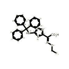 O=C(O)C(=NOCF)c1nsc(NC(c2ccccc2)(c2ccccc2)c2ccccc2)n1